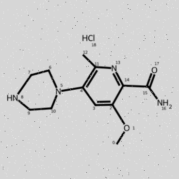 COc1cc(N2CCNCC2)c(C)nc1C(N)=O.Cl